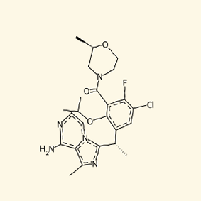 Cc1nc([C@@H](C)c2cc(Cl)c(F)c(C(=O)N3CCO[C@H](C)C3)c2OC(C)C)n2ccnc(N)c12